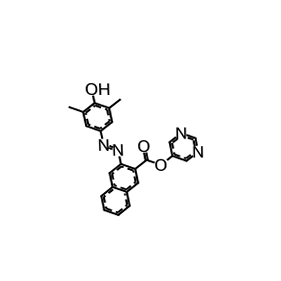 Cc1cc(/N=N/c2cc3ccccc3cc2C(=O)Oc2cncnc2)cc(C)c1O